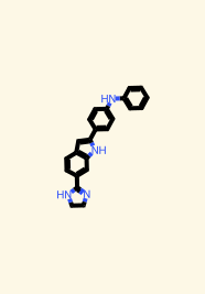 c1ccc(Nc2ccc(-c3cc4ccc(C5=NCCN5)cc4[nH]3)cc2)cc1